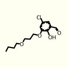 CCCCOCCCOc1cc(Cl)cc(C=O)c1O